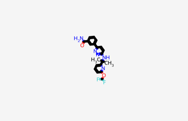 CC(C)(Nc1ccc(-c2cccc(C(N)=O)c2)nn1)c1cccc(OC(F)F)n1